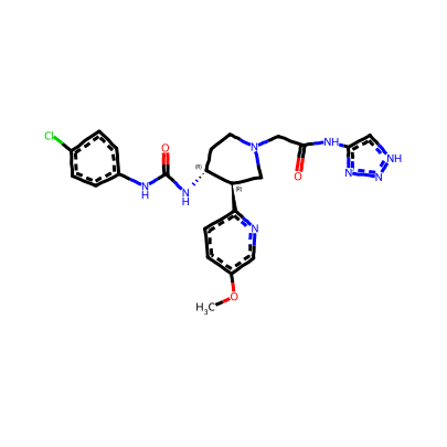 COc1ccc([C@@H]2CN(CC(=O)Nc3c[nH]nn3)CC[C@H]2NC(=O)Nc2ccc(Cl)cc2)nc1